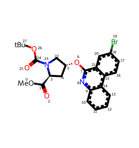 COC(=O)[C@@H]1C[C@@H](Oc2nc3ccccc3c3ccc(Br)cc23)CN1C(=O)OC(C)(C)C